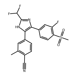 Cc1cc(-c2[nH]c(C(F)F)nc2-c2ccc(S(C)(=O)=O)c(F)c2)ccc1C#N